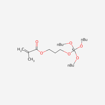 C=C(C)C(=O)OCCCO[Si](OCCCC)(OCCCC)OCCCC